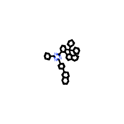 c1ccc(-c2nc(-c3ccc(-c4ccc5ccccc5c4)cc3)nc(-c3cccc4c3-c3ccc5ccccc5c3C4(c3ccccc3)c3ccccc3)n2)cc1